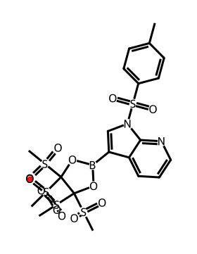 Cc1ccc(S(=O)(=O)n2cc(B3OC(S(C)(=O)=O)(S(C)(=O)=O)C(S(C)(=O)=O)(S(C)(=O)=O)O3)c3cccnc32)cc1